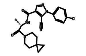 C[C@H](NC(=O)c1cnn(-c2ccc(Cl)cc2)c1C#N)C(=O)N1CCC2(CC1)CC2